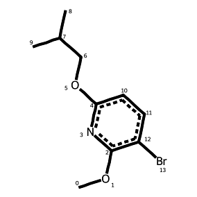 COc1nc(OCC(C)C)ccc1Br